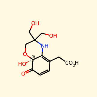 O=C(O)CC1=C2NC(CO)(CO)CO[C@]2(O)C(=O)C=C1